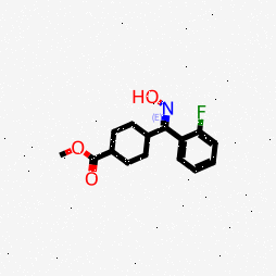 COC(=O)C1CCC(/C(=N\O)c2ccccc2F)CC1